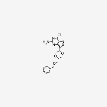 Nc1nc(Cl)c2ncn(C3COC(COCc4ccccc4)CO3)c2n1